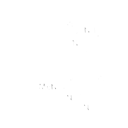 CNC(=O)Nc1cc(Oc2ccc3c(c2)c(C)c(C)n3C(N)=O)ccn1